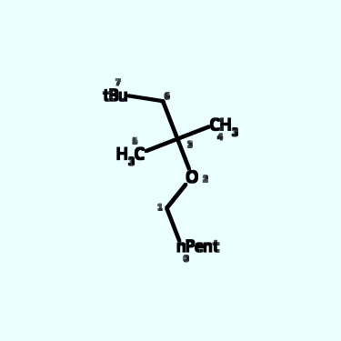 CCCCCCOC(C)(C)CC(C)(C)C